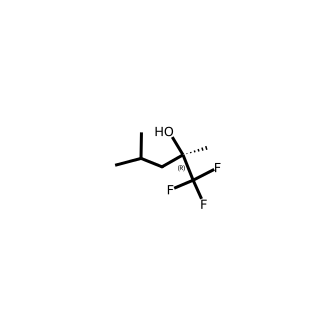 CC(C)C[C@@](C)(O)C(F)(F)F